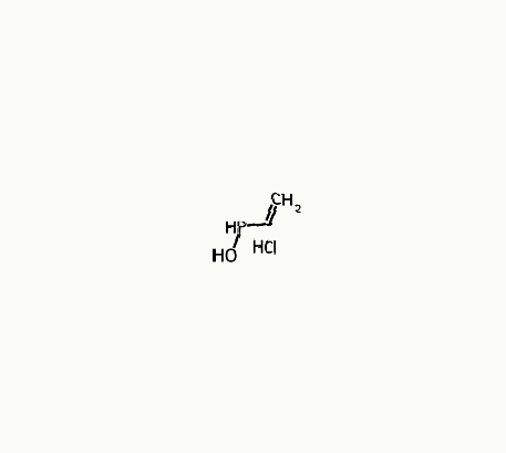 C=CPO.Cl